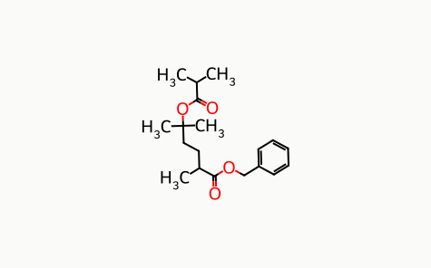 CC(C)C(=O)OC(C)(C)CCC(C)C(=O)OCc1ccccc1